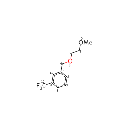 COCCOCc1cccc(C(F)(F)F)c1